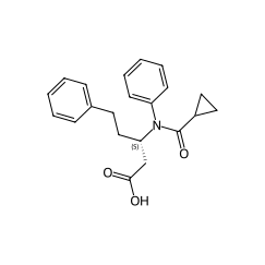 O=C(O)C[C@H](CCc1ccccc1)N(C(=O)C1CC1)c1ccccc1